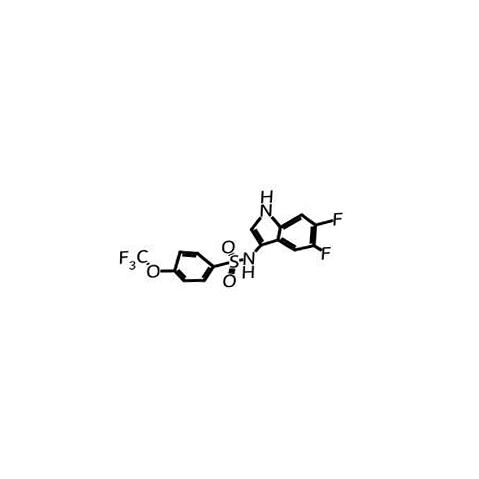 O=S(=O)(Nc1c[nH]c2cc(F)c(F)cc12)c1ccc(OC(F)(F)F)cc1